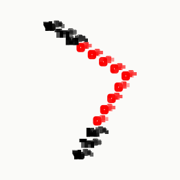 [Nd+3].[Nd+3].[O-2].[O-2].[O-2].[O-2].[O-2].[O-2].[O-2].[O-2].[O-2].[Tm+3].[Tm+3].[Yb+3].[Yb+3]